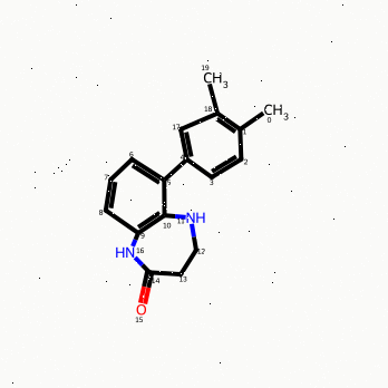 Cc1ccc(-c2cccc3c2NCCC(=O)N3)cc1C